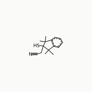 CC1(C)c2ccccc2C(C)(C)C1(S)CC#N